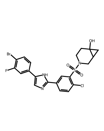 O=S(=O)(c1cc(-c2ncc(-c3ccc(Br)c(F)c3)[nH]2)ccc1Cl)N1CCC2(O)CC2C1